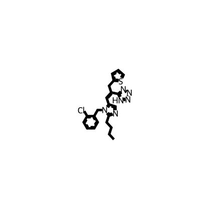 CCCCc1ncc(C=C(Cc2cccs2)c2nnn[nH]2)n1Cc1ccccc1Cl